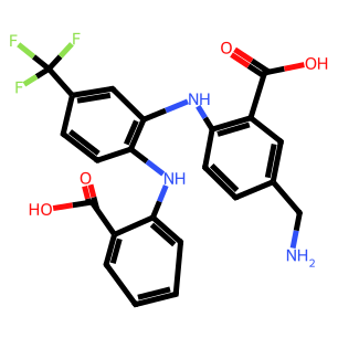 NCc1ccc(Nc2cc(C(F)(F)F)ccc2Nc2ccccc2C(=O)O)c(C(=O)O)c1